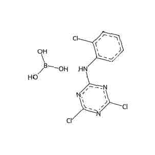 Clc1nc(Cl)nc(Nc2ccccc2Cl)n1.OB(O)O